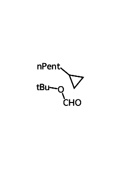 CC(C)(C)OC=O.CCCCCC1CC1